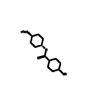 CCCCC[C@H]1CC[C@H](OC(=O)C2CCC(CCC)CC2)CC1